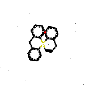 c1ccc2c(c1)Cc1ccccc1S21c2ccccc2Cc2ccccc21